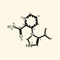 CC(C)C1=CNCN1c1cccnc1C(N)=O